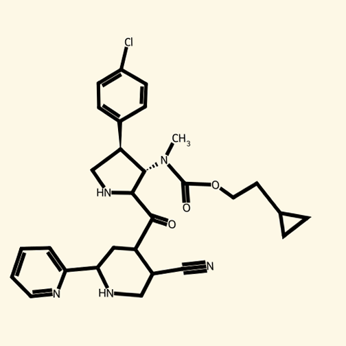 CN(C(=O)OCCC1CC1)[C@@H]1C(C(=O)C2CC(c3ccccn3)NCC2C#N)NC[C@H]1c1ccc(Cl)cc1